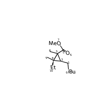 CCC(C)CC1C(C)(C(=O)OC)[C@]1(C)CC